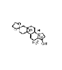 C[C@]12CC=C3[C@@H](CCC45CC6(CCC34O5)OCCO6)[C@@H]1CCC2O